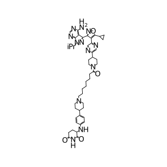 CC(C)n1nc(-c2noc(C3CC3)c2-c2cnc(C3CCN(C(=O)CCCCCCCN4CCC(c5ccc(NC6CCC(=O)NC6=O)cc5)CC4)CC3)cn2)c2c(N)ncnc21